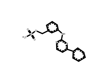 CS(=O)(=O)OCc1cccc(Nc2nccc(-c3ccccc3)n2)c1